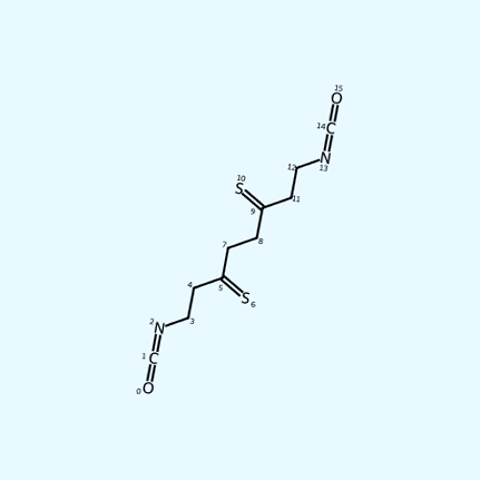 O=C=NCCC(=S)CCC(=S)CCN=C=O